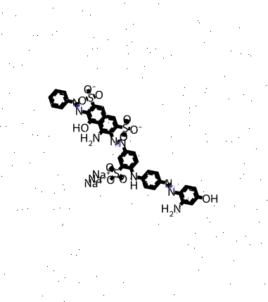 Nc1cc(O)ccc1/N=N/c1ccc(Nc2ccc(/N=N/c3c(S(=O)(=O)[O-])cc4cc(S(=O)(=O)[O-])c(/N=N/c5ccccc5)c(O)c4c3N)cc2S(=O)(=O)[O-])cc1.[Na+].[Na+].[Na+]